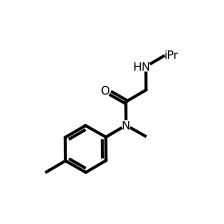 Cc1ccc(N(C)C(=O)CNC(C)C)cc1